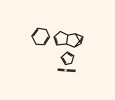 C1=CC2C3C=CC(C3)C2C1.C1=CCC=C1.C1=CCC=CC1.C=C=C